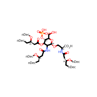 CCCCCCCCCCC[C@H](CC(=O)NC1C(OC(=O)C[C@@H](CCCCCCCCCCC)OCCCCCCCCCC)[C@H](OP(=O)(O)O)C(CO)O[C@H]1OC[C@H](NC(=O)C[C@@H](CCCCCCCCCCC)OCCCCCCCCCC)C(=O)O)OCCCCCCCCCC